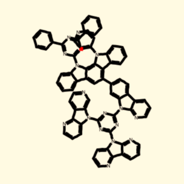 c1ccc(-c2nc(-c3ccccc3)nc(-n3c4ccccc4c4cc(-c5ccc6c7cccnc7n(-c7nc(-n8c9cnccc9c9ncccc98)nc(-n8c9cccnc9c9cccnc98)n7)c6c5)c5c6ccccc6n(-c6ccncc6)c5c43)n2)cc1